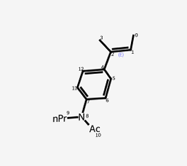 C/C=C(\C)c1ccc(N(CCC)C(C)=O)cc1